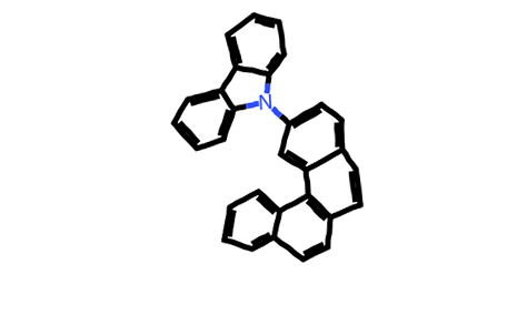 c1ccc2c(c1)ccc1ccc3ccc(-n4c5ccccc5c5ccccc54)cc3c12